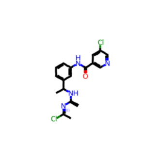 C=C(/N=C(\C)Cl)NC(C)c1cccc(NC(=O)c2cncc(Cl)c2)c1